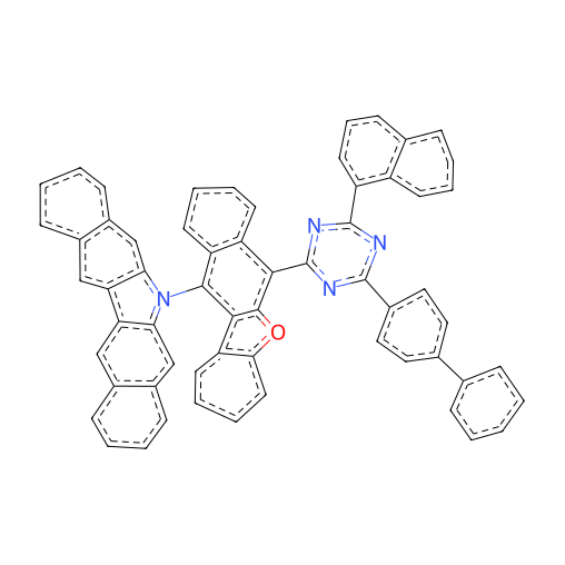 c1ccc(-c2ccc(-c3nc(-c4cccc5ccccc45)nc(-c4c5ccccc5c(-n5c6cc7ccccc7cc6c6cc7ccccc7cc65)c5c4oc4ccccc45)n3)cc2)cc1